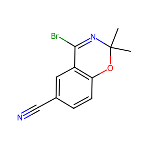 CC1(C)N=C(Br)c2cc(C#N)ccc2O1